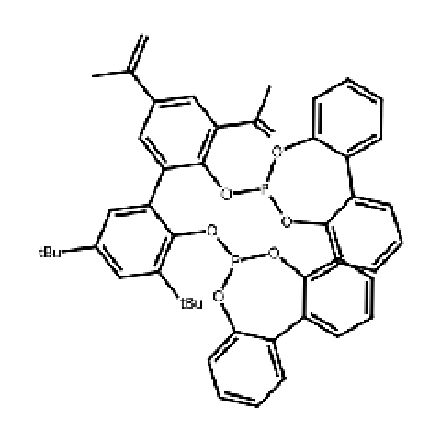 C=C(C)c1cc(C(=C)C)c(Op2oc3ccccc3c3ccccc3o2)c(-c2cc(C(C)(C)C)cc(C(C)(C)C)c2Op2oc3ccccc3c3ccccc3o2)c1